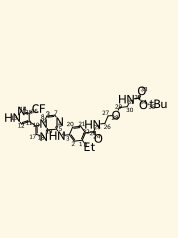 CCc1cc(Nc2nccn3c(-c4c[nH]nc4C(F)(F)F)cnc23)ccc1C(=O)NCCOCCNC(=O)OC(C)(C)C